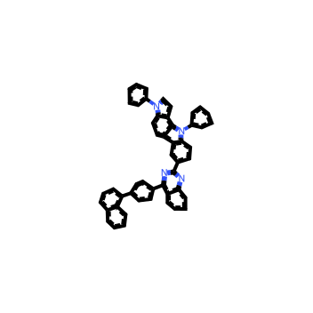 c1ccc(-n2ccc3c2ccc2c4cc(-c5nc(-c6ccc(-c7cccc8ccccc78)cc6)c6ccccc6n5)ccc4n(-c4ccccc4)c23)cc1